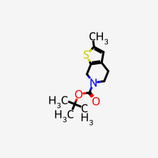 Cc1cc2c(s1)CN(C(=O)OC(C)(C)C)CC2